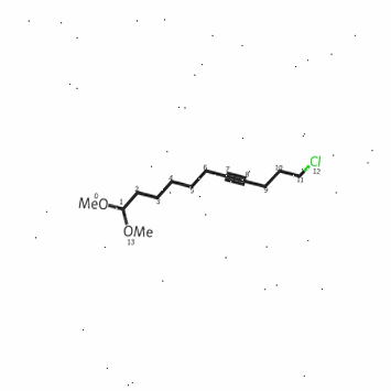 COC(CCCCCC#CCCCCl)OC